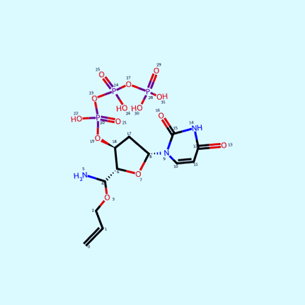 C=CCOC(N)[C@H]1O[C@@H](n2ccc(=O)[nH]c2=O)C[C@@H]1OP(=O)(O)OP(=O)(O)OP(=O)(O)O